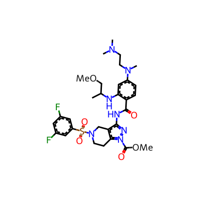 COCC(C)Nc1cc(N(C)CCN(C)C)ccc1C(=O)Nc1nn(C(=O)OC)c2c1CN(S(=O)(=O)c1cc(F)cc(F)c1)CC2